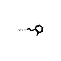 CCCCCCCc1[c]cccc1C